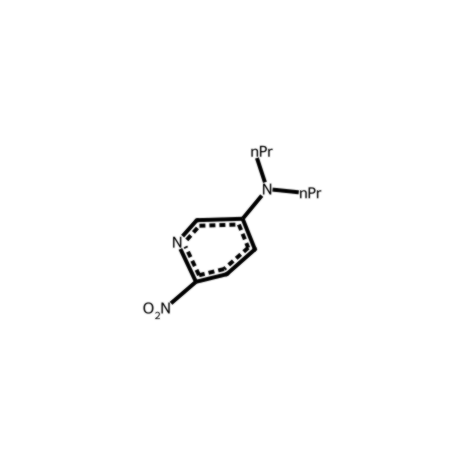 CCCN(CCC)c1ccc([N+](=O)[O-])nc1